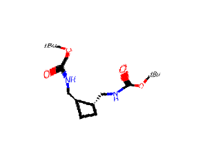 CC(C)(C)OC(=O)NC[C@@H]1CC[C@H]1CNC(=O)OC(C)(C)C